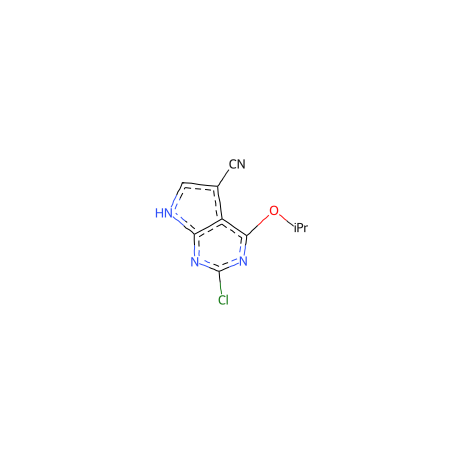 CC(C)Oc1nc(Cl)nc2[nH]cc(C#N)c12